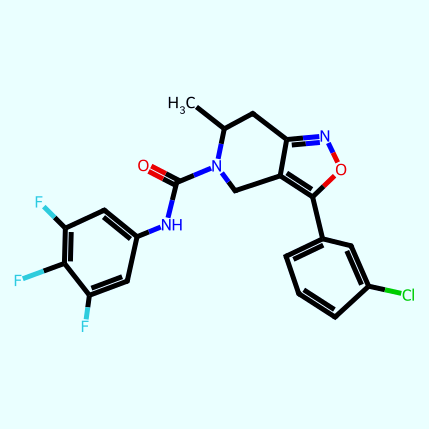 CC1Cc2noc(-c3cccc(Cl)c3)c2CN1C(=O)Nc1cc(F)c(F)c(F)c1